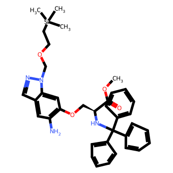 COC(=O)[C@H](COc1cc2c(cnn2COCC[Si](C)(C)C)cc1N)NC(c1ccccc1)(c1ccccc1)c1ccccc1